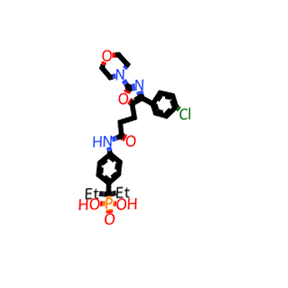 CCC(CC)(c1ccc(NC(=O)CCc2oc(N3CCOCC3)nc2-c2ccc(Cl)cc2)cc1)P(=O)(O)O